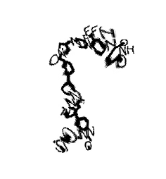 COCc1nc2ccc(-c3ccnc4c3cc([C@H](C)N3CCC(c5ccc(C(=O)N6CCC(CN7CCN(c8ccc(NC9CCC(=O)NC9=O)cc8C(F)(F)F)CC7)CC6)cc5)CC3)n4C)cc2n1COCC[Si](C)(C)C